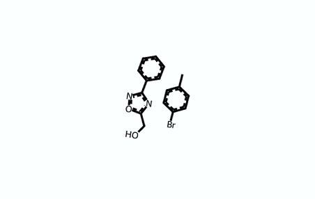 Cc1ccc(Br)cc1.OCc1nc(-c2ccccc2)no1